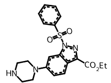 CCOC(=O)c1nn(S(=O)(=O)c2ccccc2)c2cc(N3CCNCC3)ccc12